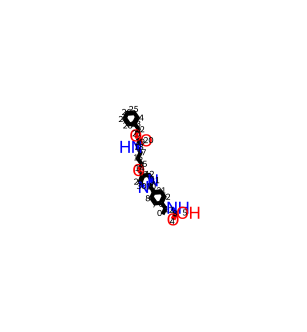 CC(NC(=O)O)c1ccc(-c2ncc(OCCCNC(=O)OCc3ccccc3)cn2)cc1